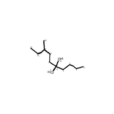 CCCCC(O)(O)CCC(C)CC